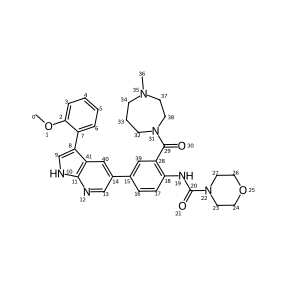 COc1ccccc1-c1c[nH]c2ncc(-c3ccc(NC(=O)N4CCOCC4)c(C(=O)N4CCCN(C)CC4)c3)cc12